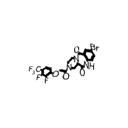 O=C1Nc2ccc(Br)cc2C(=O)N2CCN(C(=O)COc3ccc(C(F)(F)F)c(F)c3F)CC12